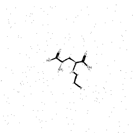 N[C@@H](C[C@H](OCCF)C(=O)O)C(=O)O